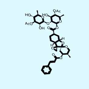 CC(=O)O[C@@H]1[C@@H](O)[C@H](O[C@H]2[C@H](OC(=O)[C@@H]3CC[C@@H]4[C@H](C3)O[C@]3(C[C@H](OC(=O)/C=C/c5ccccc5)[C@H](C)CO3)[C@@]43CO3)O[C@H](C)[C@@H](OC(C)=O)[C@@H]2O)O[C@H](C)[C@H]1O